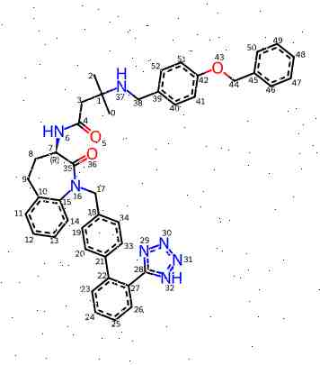 CC(C)(CC(=O)N[C@@H]1CCc2ccccc2N(Cc2ccc(-c3ccccc3-c3nnn[nH]3)cc2)C1=O)NCc1ccc(OCc2ccccc2)cc1